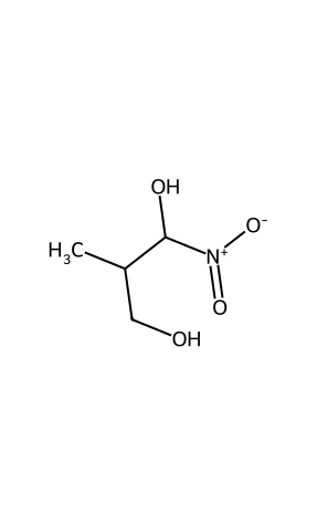 CC(CO)C(O)[N+](=O)[O-]